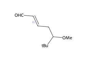 COC(C/C=C/C=O)C(C)(C)C